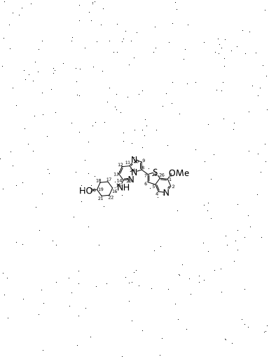 COc1cncc2cc(-c3cnc4ccc(N[C@H]5CC[C@H](O)CC5)nn34)sc12